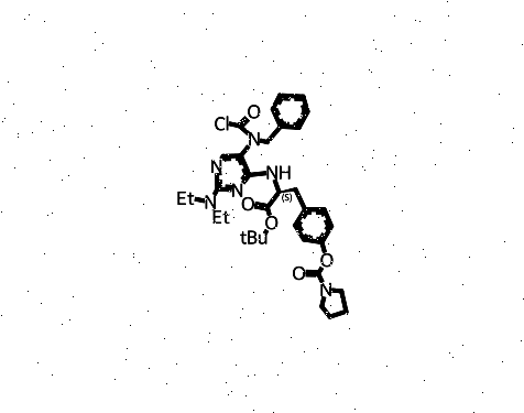 CCN(CC)c1ncc(N(Cc2ccccc2)C(=O)Cl)c(N[C@@H](Cc2ccc(OC(=O)N3CCCC3)cc2)C(=O)OC(C)(C)C)n1